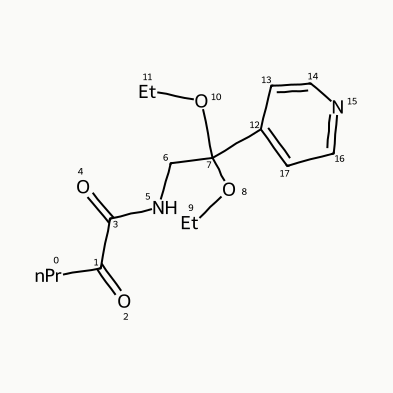 CCCC(=O)C(=O)NCC(OCC)(OCC)c1ccncc1